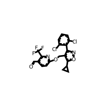 O=Cc1ccc(OCc2c(-c3c(Cl)cccc3Cl)noc2C2CC2)nc1C(F)(F)F